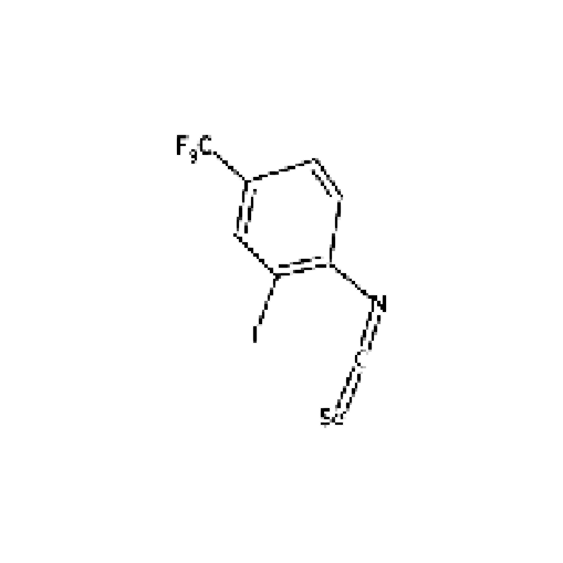 FC(F)(F)c1ccc(N=C=[Se])c(I)c1